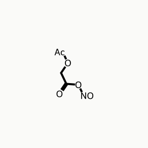 CC(=O)OCC(=O)ON=O